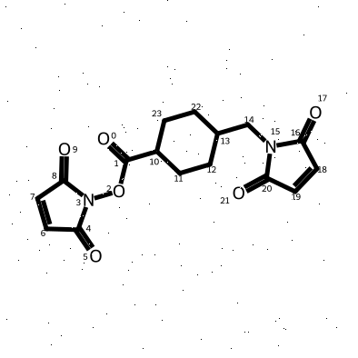 O=C(ON1C(=O)C=CC1=O)C1CCC(CN2C(=O)C=CC2=O)CC1